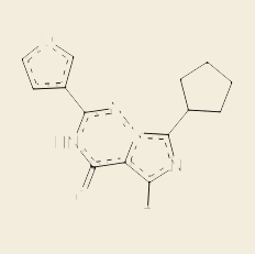 CCc1nc(C2CCCC2)n2nc(-c3ccoc3)[nH]c(=O)c12